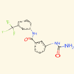 NC(=O)Nc1cccc(C(=O)Nc2cccc(C(F)(F)F)c2)c1